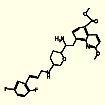 COC(=O)c1ccc(CC(N)C2CCC(NCC=Cc3cc(F)ccc3F)CO2)c2nc(OC)ccc12